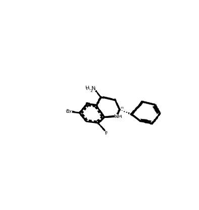 NC1C[C@H](C2C=CC=CC2)Nc2c(F)cc(Br)cc21